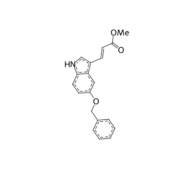 COC(=O)C=Cc1c[nH]c2ccc(OCc3ccccc3)cc12